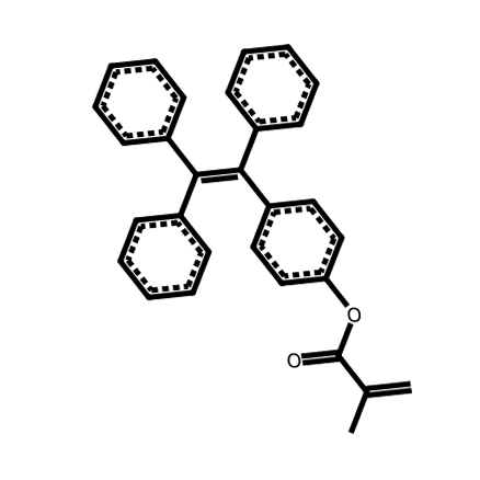 C=C(C)C(=O)Oc1ccc(C(=C(c2ccccc2)c2ccccc2)c2ccccc2)cc1